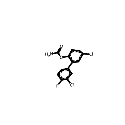 NC(=O)Oc1ccc(Cl)cc1-c1ccc(F)c(Cl)c1